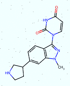 Cn1nc(-n2ccc(=O)[nH]c2=O)c2ccc(C3CCNC3)cc21